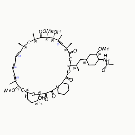 CO[C@H]1C[C@@H]2CC[C@@H](C)[C@@](O)(O2)C(=O)C(=O)N2CCCCC2C(=O)O[C@H]([C@H](C)C[C@@H]2CCC(N[PH](C)=O)[C@H](OC)C2)CC(=O)[C@H](C)/C=C(\C)[C@@H](O)[C@@H](OC)C(=O)[C@H](C)C[C@H](C)/C=C/C=C/C=C/1C